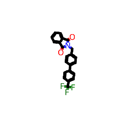 O=C1c2ccccc2C(=O)N1Cc1ccc(-c2ccc(C(F)(F)F)cc2)cc1